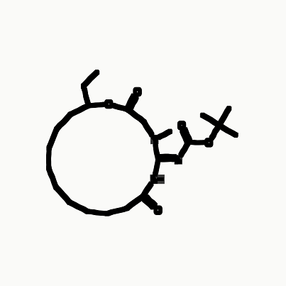 CCC1CCCCCCCCCC(=O)N/C(=N/C(=O)OC(C)(C)C)N(C)CC(=O)O1